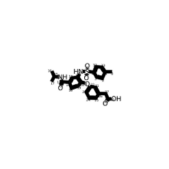 Cc1ccc(S(=O)(=O)Nc2cc(C(=O)NC(C)C)ccc2Oc2cccc(CC(=O)O)c2)cc1